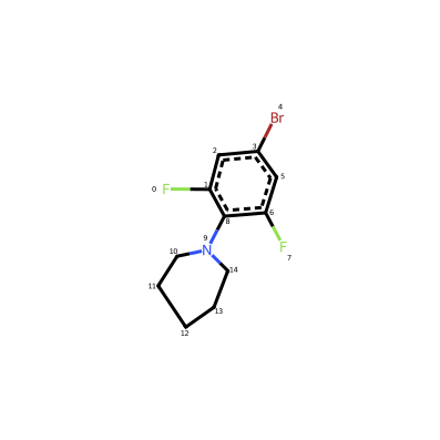 Fc1cc(Br)cc(F)c1N1CCCCC1